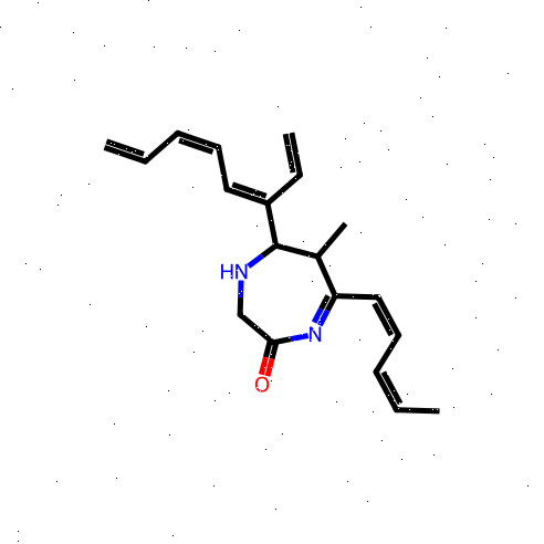 C=C/C=C\C=C(/C=C)C1NCC(=O)N=C(/C=C\C=C/C)C1C